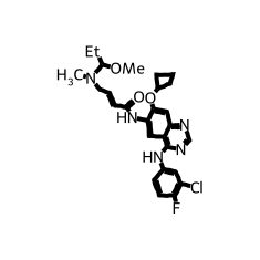 CCC(OC)N(C)CC=CC(=O)Nc1cc2c(Nc3ccc(F)c(Cl)c3)ncnc2cc1OC1CCC1